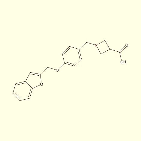 O=C(O)C1CN(Cc2ccc(OCc3cc4ccccc4o3)cc2)C1